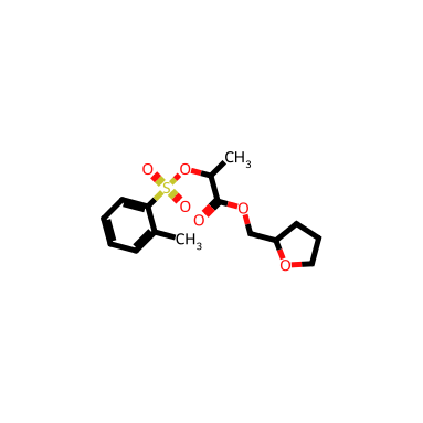 Cc1ccccc1S(=O)(=O)OC(C)C(=O)OCC1CCCO1